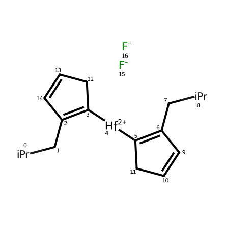 CC(C)CC1=[C]([Hf+2][C]2=C(CC(C)C)C=CC2)CC=C1.[F-].[F-]